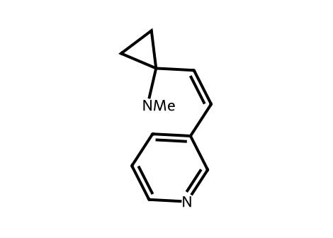 CNC1(/C=C\c2cccnc2)CC1